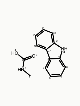 CNC(=O)O.c1ccc2c(c1)[nH]c1ccccc12